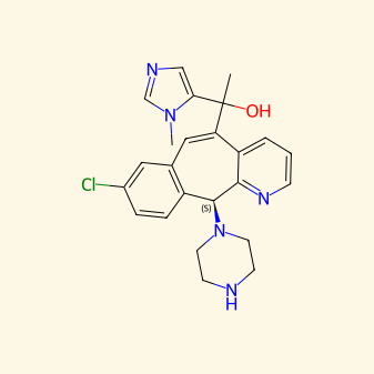 Cn1cncc1C(C)(O)C1=Cc2cc(Cl)ccc2[C@H](N2CCNCC2)c2ncccc21